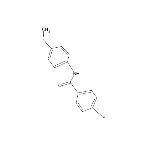 CCc1ccc(NC(=O)c2ccc(F)cc2)cc1